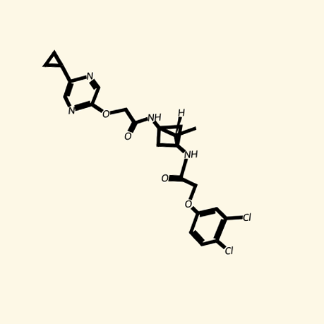 C[C@@H]1C2(NC(=O)COc3ccc(Cl)c(Cl)c3)CC1(NC(=O)COc1cnc(C3CC3)cn1)C2